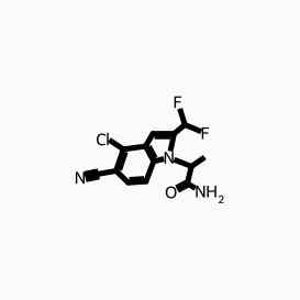 CC(C(N)=O)n1c(C(F)F)cc2c(Cl)c(C#N)ccc21